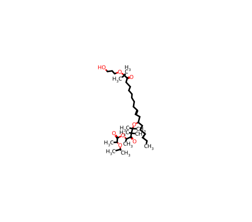 CCCCCCC(C/C=C/CCCCCCCC(=O)C(C)(C)OCCCO)OC(C)(C)C(C)(C)C(=O)C(C)OC(=O)C(C)OC(C)C